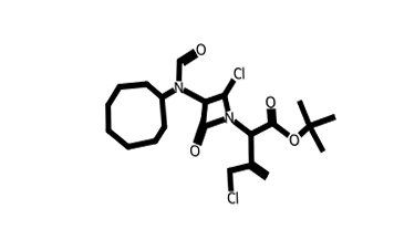 C=C(CCl)C(C(=O)OC(C)(C)C)N1C(=O)C(N(C=O)C2CCCCCCC2)C1Cl